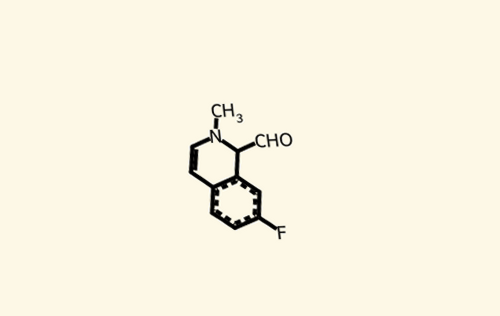 CN1C=Cc2ccc(F)cc2C1C=O